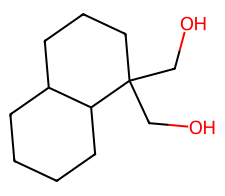 OCC1(CO)CCCC2CCCCC21